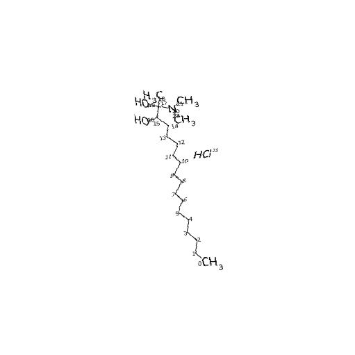 CCCCCCCCCCCCCCCC(O)C(C)(O)N(C)C.Cl